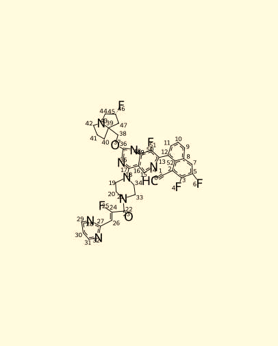 C#Cc1c(F)c(F)cc2cccc(-c3ncc4c(N5CCN(C(=O)/C(F)=C/c6ncccn6)CC5)nc(OCC56CCCN5C[C@H](F)C6)nc4c3F)c12